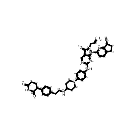 C=CCn1c(=O)c2cnc(Nc3ccc(N4CCC(NCCc5ccc(C6CCC(=O)NC6=O)cc5)CC4)cc3)nc2n1-c1ccc2c(n1)C(CC)CC2